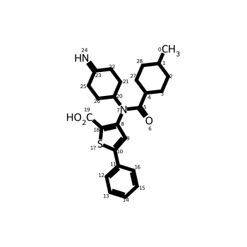 CC1CCC(C(=O)N(c2cc(-c3ccccc3)sc2C(=O)O)C2CCC(=N)CC2)CC1